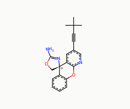 CC(C)(C)C#Cc1cnc2c(c1)[C@]1(COC(N)=N1)c1c[c]ccc1O2